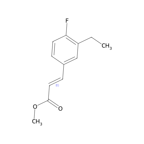 CCc1cc(/C=C/C(=O)OC)ccc1F